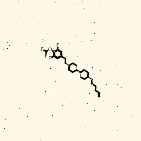 C=CCCCC[C@H]1CC[C@H]([C@H]2CC[C@H](CCc3cc(F)c(OC(F)F)c(F)c3)CC2)CC1